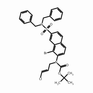 CC(C)(C)OC(=O)N(C/C=C/Cl)c1ccc2ccc(S(=O)(=O)N(Cc3ccccc3)Cc3ccccc3)cc2c1Br